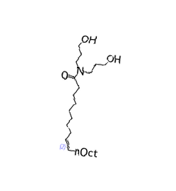 CCCCCCCC/C=C\CCCCCCCC(=O)N(CCCO)CCCO